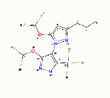 CCCc1cc(OC(F)F)n(C2=C(C(F)(F)F)[N]N=C2OC(F)F)n1